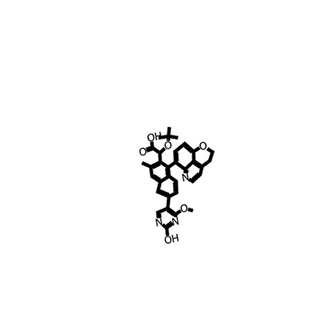 COc1nc(O)ncc1-c1ccc2c(-c3ccc4c5c(ccnc35)CCO4)c(C(OC(C)(C)C)C(=O)O)c(C)cc2c1